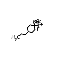 BC1(C(F)(F)Br)CCC(CCC)CC1